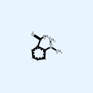 C[SH](C)c1ccccc1C(N)=O